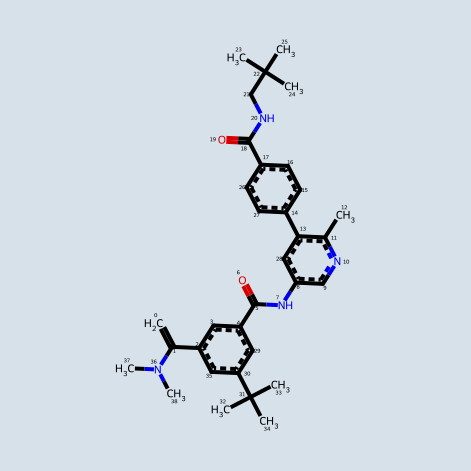 C=C(c1cc(C(=O)Nc2cnc(C)c(-c3ccc(C(=O)NCC(C)(C)C)cc3)c2)cc(C(C)(C)C)c1)N(C)C